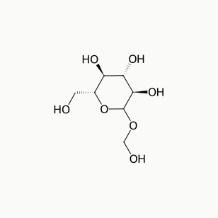 OCOC1O[C@H](CO)[C@@H](O)[C@H](O)[C@H]1O